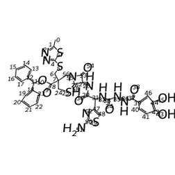 Cc1nnc(SCC2(C(=O)OC(c3ccccc3)c3ccccc3)CS[C@@H]3C(NC(=O)C(NC(=O)NNC(=O)c4ccc(O)c(O)c4)c4csc(N)n4)C(=O)N3C2)s1